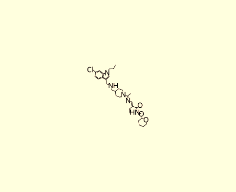 C=C/C(=C\N=C(/C)N1CCC(CNCc2cn(CCC)c3cc(Cl)ccc23)CC1)C(=O)NOC1CCCCO1